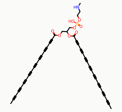 CC#CC#CC#CC#CC#CC#CC#CC#CC(=O)OCC(COP(=O)(O)OCCNC)OC(=O)C#CC#CC#CC#CC#CC#CC#CC#CC